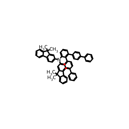 CC1(C)c2ccccc2-c2ccc(N(c3ccc4c(c3)C(C)(C)c3ccccc3-4)c3cccc(-c4ccc(-c5ccccc5)cc4)c3-c3ccc(-c4ccccc4)cc3)cc21